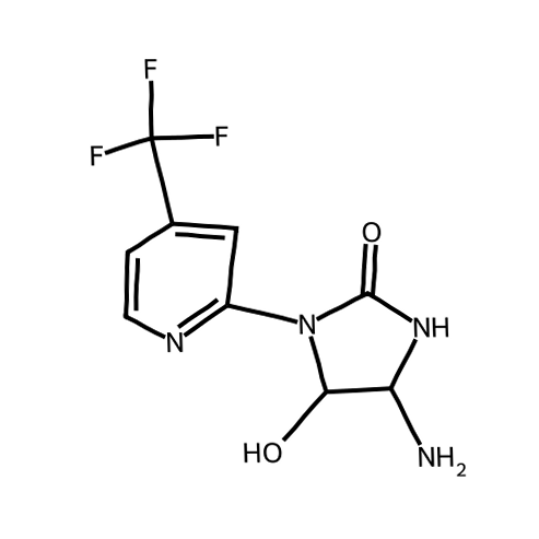 NC1NC(=O)N(c2cc(C(F)(F)F)ccn2)C1O